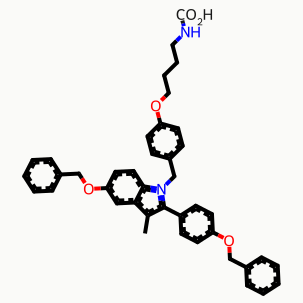 Cc1c(-c2ccc(OCc3ccccc3)cc2)n(Cc2ccc(OCCCCNC(=O)O)cc2)c2ccc(OCc3ccccc3)cc12